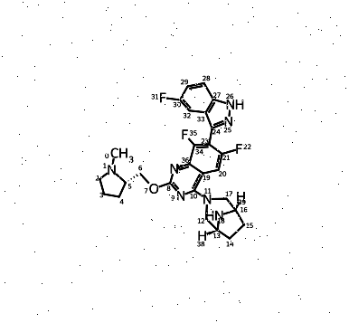 CN1CCC[C@H]1COc1nc(N2C[C@H]3CC[C@@H](C2)N3)c2cc(F)c(-c3n[nH]c4ccc(F)cc34)c(F)c2n1